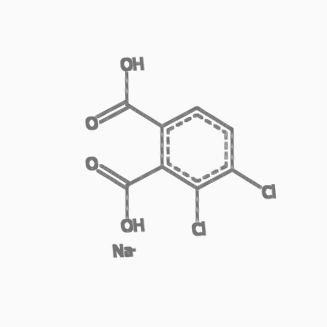 O=C(O)c1ccc(Cl)c(Cl)c1C(=O)O.[Na]